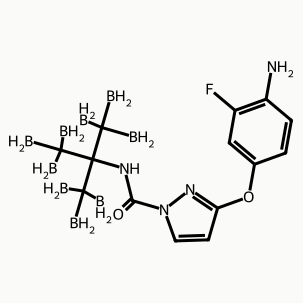 BC(B)(B)C(NC(=O)n1ccc(Oc2ccc(N)c(F)c2)n1)(C(B)(B)B)C(B)(B)B